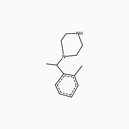 Cc1[c]cccc1C(C)N1CCNCC1